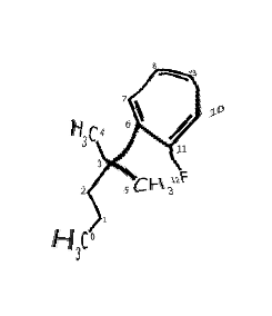 CCCC(C)(C)c1cc[c]cc1F